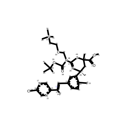 COC(=O)C1(C)C[C@@](C)(c2cc(/C=C(\F)c3cnc(Cl)cn3)ccc2F)N=C(N(COCC[Si](C)(C)C)C(=O)OC(C)(C)C)S1